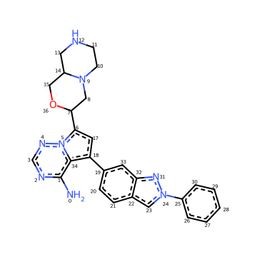 Nc1ncnn2c(C3CN4CCNCC4CO3)cc(-c3ccc4cn(-c5ccccc5)nc4c3)c12